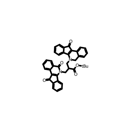 CC(C)(C)OC(=O)C(CN1Cc2ccccc2C2=C1c1ccccc1C2=O)Cn1c2c(c3ccccc3c1=O)C(=O)c1ccccc1-2